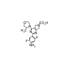 CC1COCCN1c1nc(-c2cc(F)c(N)cc2F)nc2c1CN(C(=O)O)C2